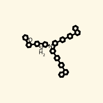 c1ccc2c(-c3ccc(-c4ccc(-c5ccc6c(c5)c5cc(-c7ccc(-c8ccc(-c9cccc%10ccccc9%10)cc8)cc7)ccc5n6-c5ccc6c(c5)[SiH2]c5cc(-c7cccc8c7oc7ccccc78)ccc5-6)cc4)cc3)cccc2c1